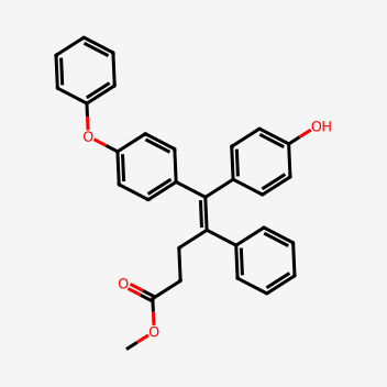 COC(=O)CC/C(=C(/c1ccc(O)cc1)c1ccc(Oc2ccccc2)cc1)c1ccccc1